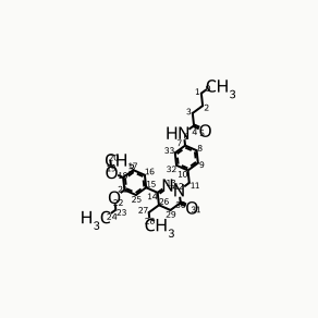 CCCCC(=O)Nc1ccc(CN2N=C(c3ccc(OC)c(OCC)c3)C(CC)CC2=O)cc1